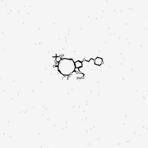 COCOc1cc(OCCN2CCOCC2)cc2c1C(=O)O[C@@H](C)[C@H](C)/C=C\C(=O)[C@H]1OC(C)(C)O[C@H]1C/C=C/2